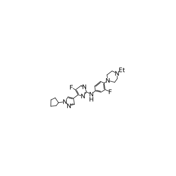 CCN1CCN(c2ccc(Nc3ncc(F)c(-c4cnn(C5CCCC5)c4)n3)cc2F)CC1